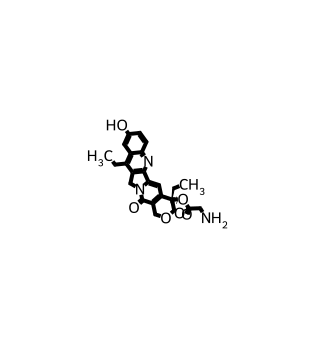 CCc1c2c(nc3ccc(O)cc13)-c1cc3c(c(=O)n1C2)COC(=O)[C@@]3(CC)OC(=O)CN